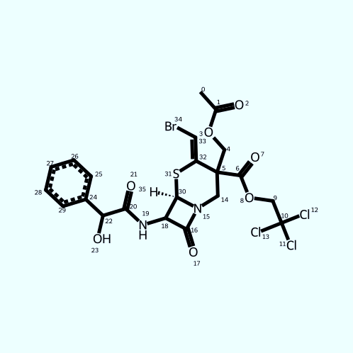 CC(=O)OCC1(C(=O)OCC(Cl)(Cl)Cl)CN2C(=O)C(NC(=O)C(O)c3ccccc3)[C@H]2SC1=CBr